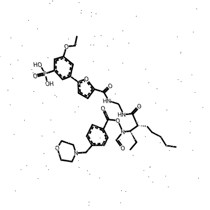 CCCCC[C@@H](C(=O)NCNC(=O)c1ccc(-c2cc(OCC)cc(P(=O)(O)O)c2)o1)[C@@H](CC)N(C=O)OC(=O)c1ccc(CN2CCOCC2)cc1